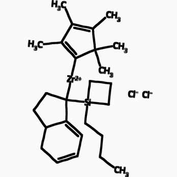 CCCC[Si]1([C]2([Zr+2][C]3=C(C)C(C)=C(C)C3(C)C)CCC3CC=CC=C32)CCC1.[Cl-].[Cl-]